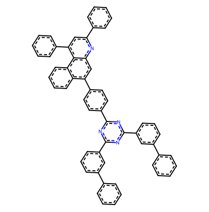 c1ccc(-c2cccc(-c3nc(-c4ccc(-c5cc6nc(-c7ccccc7)cc(-c7ccccc7)c6c6ccccc56)cc4)nc(-c4cccc(-c5ccccc5)c4)n3)c2)cc1